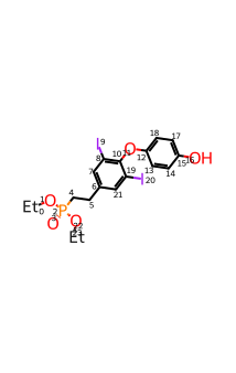 CCOP(=O)(CCc1cc(I)c(Oc2ccc(O)cc2)c(I)c1)OCC